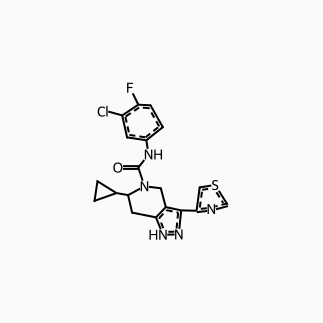 O=C(Nc1ccc(F)c(Cl)c1)N1Cc2c(-c3cscn3)n[nH]c2CC1C1CC1